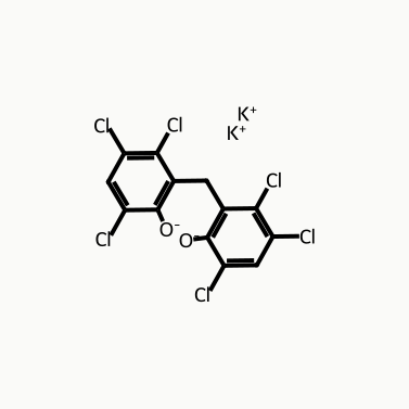 [K+].[K+].[O-]c1c(Cl)cc(Cl)c(Cl)c1Cc1c([O-])c(Cl)cc(Cl)c1Cl